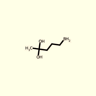 BCCCC(C)(O)O